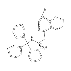 O=C(O)[C@H](Cc1ccc(Br)c2ccccc12)NC(c1ccccc1)(c1ccccc1)c1ccccc1